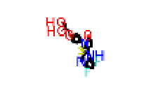 N#Cc1sc2c(ccc(=O)n2-c2ccc(OC[C@@H](O)CO)cc2)c1Nc1ccc(F)cc1F